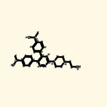 C[S+]([O-])c1ccc(-c2nnc(N3CCN(CCO)CC3)nc2-c2ccc([S+](C)[O-])cc2)cc1